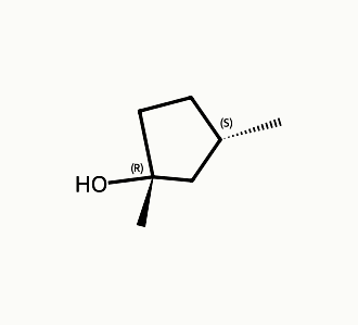 C[C@H]1CC[C@@](C)(O)C1